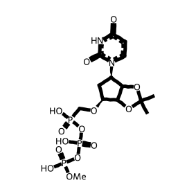 COP(=O)(O)OP(=O)(O)OP(=O)(O)CO[C@H]1C[C@@H](n2ccc(=O)[nH]c2=O)C2OC(C)(C)OC21